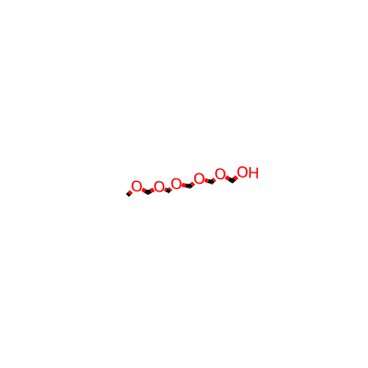 COCOCOCOCOCO